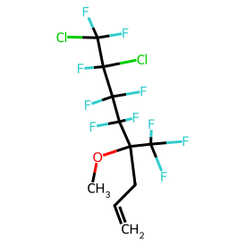 C=CCC(OC)(C(F)(F)F)C(F)(F)C(F)(F)C(F)(Cl)C(F)(F)Cl